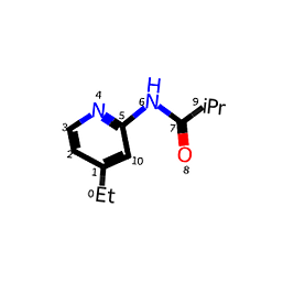 CCc1ccnc(NC(=O)C(C)C)c1